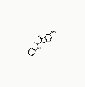 COc1ccc2c(c1)C(=O)C(C(=O)Nc1ccccc1)C2